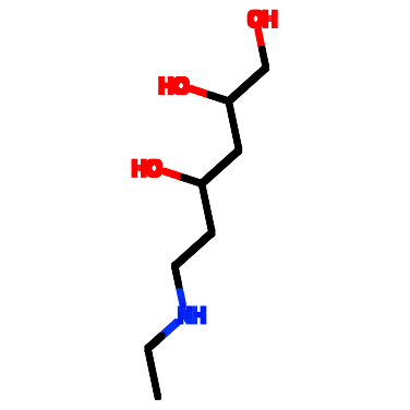 CCNCCC(O)CC(O)CO